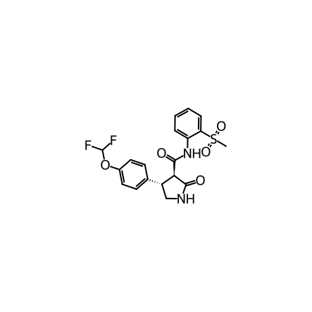 CS(=O)(=O)c1ccccc1NC(=O)[C@H]1C(=O)NC[C@@H]1c1ccc(OC(F)F)cc1